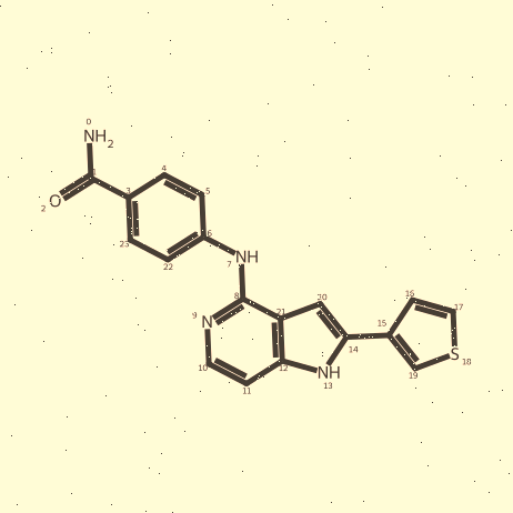 NC(=O)c1ccc(Nc2nccc3[nH]c(-c4ccsc4)cc23)cc1